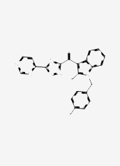 O=C(c1noc(-c2ccncn2)n1)c1c(Cl)n(Cc2ccc(Cl)cc2)c2ccccc12